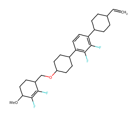 C=CC1CCC(c2ccc(C3CCC(OCC4CCC(OC)C(F)=C4F)CC3)c(F)c2F)CC1